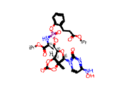 CC(C)OC(=O)CCc1ccccc1OP(=O)(N[C@@H](C)C(=O)OC(C)C)OC[C@H]1O[C@@H](n2ccc(NO)nc2=O)C2(C)OC(=O)O[C@@H]12